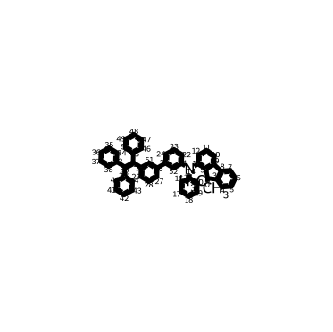 CC1(C)c2ccccc2-c2cccc(N(c3ccccc3)c3cccc(-c4cccc(C(=C(c5ccccc5)c5ccccc5)c5ccccc5)c4)c3)c21